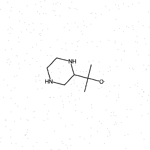 CC(C)([O])C1CNCCN1